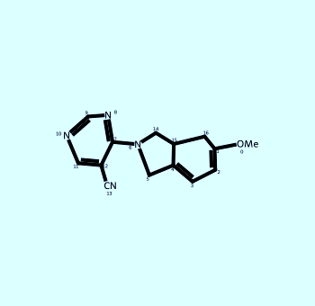 COC1=CC=C2CN(c3ncncc3C#N)CC2C1